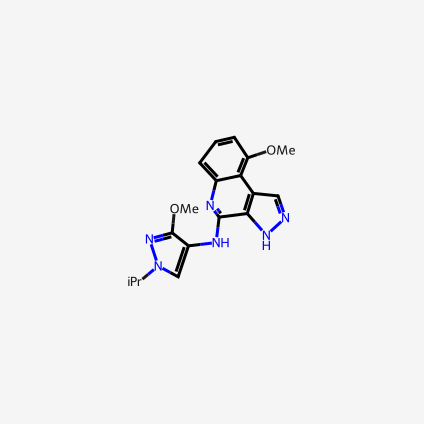 COc1nn(C(C)C)cc1Nc1nc2cccc(OC)c2c2cn[nH]c12